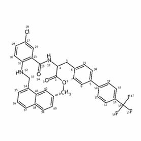 COC(=O)C(Cc1ccc(-c2ccc(C(F)(F)F)cc2)cc1)NC(=O)c1cc(Cl)ccc1NCc1cccc2ccccc12